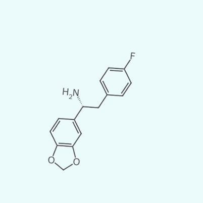 N[C@H](Cc1ccc(F)cc1)c1ccc2c(c1)OCO2